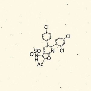 CC(=O)c1oc2nc(-c3ccc(Cl)cc3Cl)c(-c3ccc(Cl)cc3)cc2c1NS(C)(=O)=O